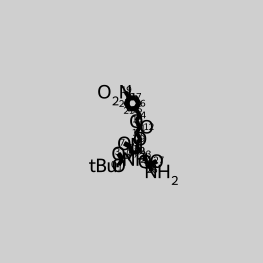 CC(C)(C)OC(=O)N[C@H]1C(=O)N(OCC(=O)OCc2ccc([N+](=O)[O-])cc2)[C@@H]1COC(N)=O